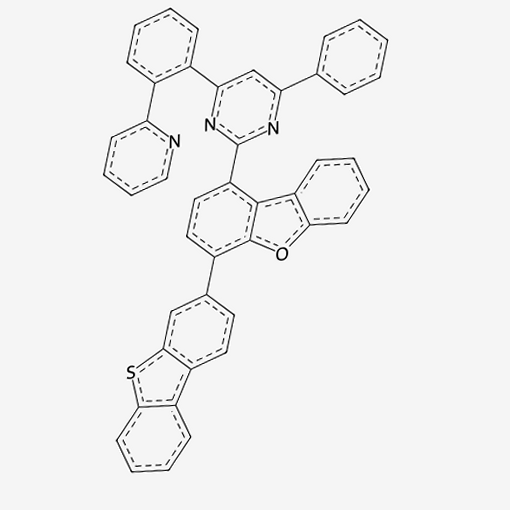 c1ccc(-c2cc(-c3ccccc3-c3ccccn3)nc(-c3ccc(-c4ccc5c(c4)sc4ccccc45)c4oc5ccccc5c34)n2)cc1